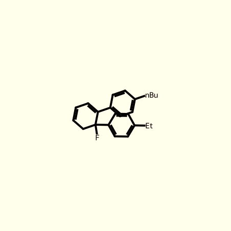 CCCCc1ccc(C2=CC=CCC2(F)c2ccc(CC)cc2)cc1